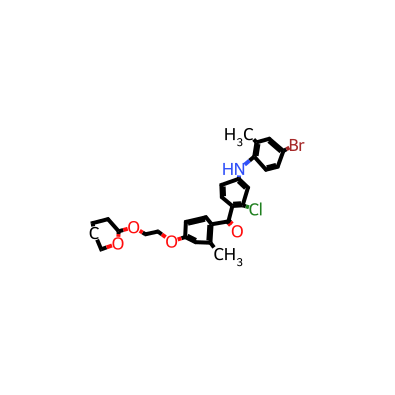 Cc1cc(Br)ccc1Nc1ccc(C(=O)c2ccc(OCCOC3CCCCO3)cc2C)c(Cl)c1